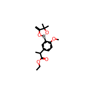 C=C1OB(c2cc(C(C)C(=O)OCC)ccc2OC)OC1(C)C